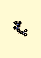 CC(c1ccc(N(c2ccccc2)c2ccccc2)cc1)c1ccc(N(c2ccccc2)c2ccc3c4ccccc4n(-c4ccccc4)c3c2)cc1